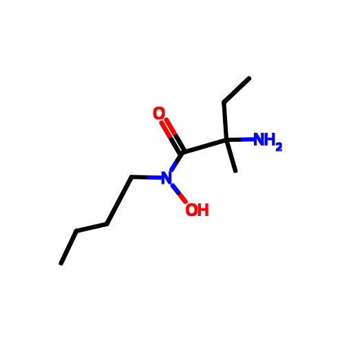 CCCCN(O)C(=O)C(C)(N)CC